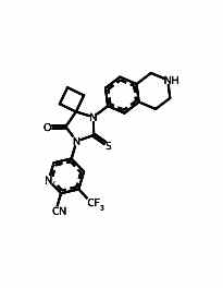 N#Cc1ncc(N2C(=O)C3(CCC3)N(c3ccc4c(c3)CCNC4)C2=S)cc1C(F)(F)F